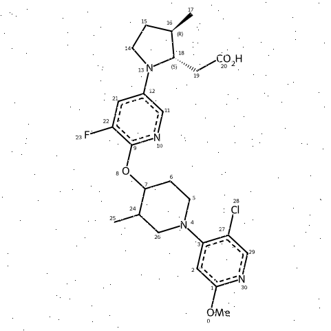 COc1cc(N2CCC(Oc3ncc(N4CC[C@@H](C)[C@@H]4CC(=O)O)cc3F)C(C)C2)c(Cl)cn1